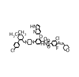 CC1(C)CCC(CN2CCN(c3ccc(C(=O)NS(=O)(=O)c4cc(F)[c]([Au][CH2]C5CCOCC5)c(Cl)c4)c(Oc4cnc5[nH]ccc5c4)c3)CC2)=C(c2ccc(Cl)cc2)C1